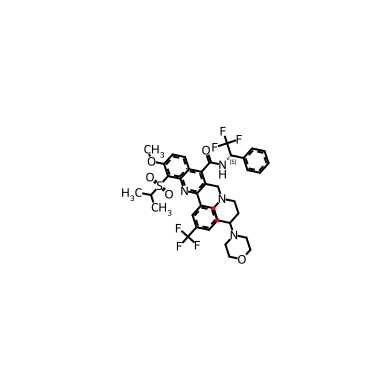 COc1ccc2c(C(=O)N[C@@H](c3ccccc3)C(F)(F)F)c(CN3CCC(N4CCOCC4)CC3)c(-c3cccc(C(F)(F)F)c3)nc2c1S(=O)(=O)C(C)C